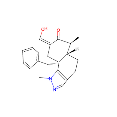 C[C@@H]1C(=O)/C(=C\O)C[C@]2(Cc3ccccc3)c3c(cnn3C)CC[C@@H]12